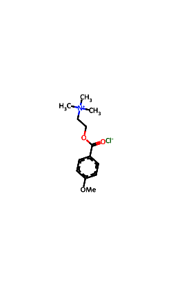 COc1ccc(C(=O)OCC[N+](C)(C)C)cc1.[Cl-]